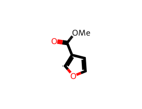 COC(=O)c1[c]occ1